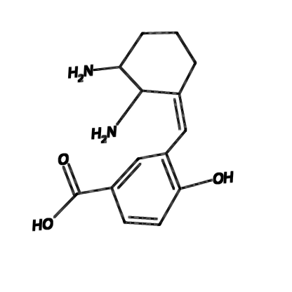 NC1CCCC(=Cc2cc(C(=O)O)ccc2O)C1N